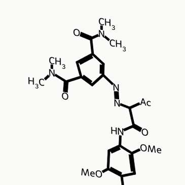 COc1cc(NC(=O)C(N=Nc2cc(C(=O)N(C)C)cc(C(=O)N(C)C)c2)C(C)=O)c(OC)cc1Cl